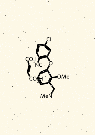 CNCc1cccc(Oc2cc(Cl)ccc2C#N)c1OC.O=C(O)/C=C/C(=O)O